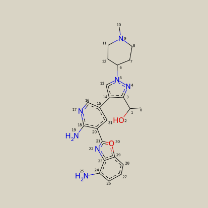 CC(O)c1nn(C2CCN(C)CC2)cc1-c1cnc(N)c(-c2nc3c(N)cccc3o2)c1